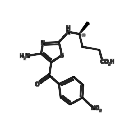 C[C@@H](CCC(=O)O)Nc1nc(N)c(C(=O)c2ccc([N+](=O)[O-])cc2)s1